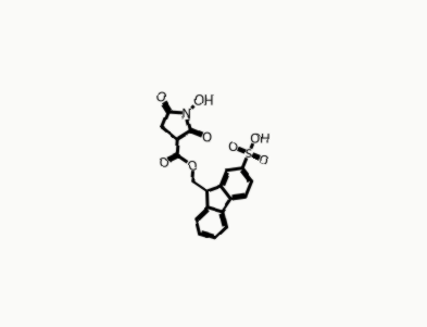 O=C(OCC1c2ccccc2-c2ccc(S(=O)(=O)O)cc21)C1CC(=O)N(O)C1=O